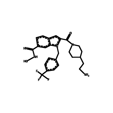 N=C(NO)c1ccc2cc(C(=O)N3CCC(CCN)CC3)n(Cc3ccc(C(F)(F)F)cc3)c2c1